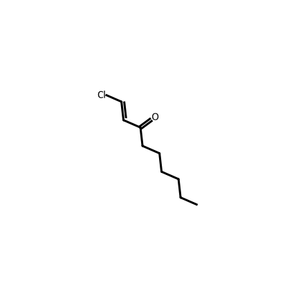 CCCCCCC(=O)C=CCl